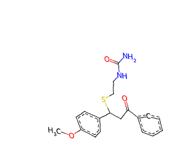 COc1ccc(C(CC(=O)c2ccccc2)SCCNC(N)=O)cc1